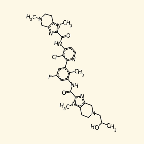 Cc1c(NC(=O)c2nc3c(n2C)CCN(CC(C)O)C3)cc(F)cc1-c1nccc(NC(=O)c2nc3c(n2C)CCN(C)C3)c1Cl